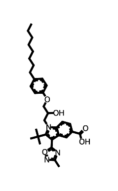 CCCCCCCCc1ccc(OCC(O)Cn2c(C(C)(C)C)c(-c3nc(C)no3)c3cc(C(=O)O)ccc32)cc1